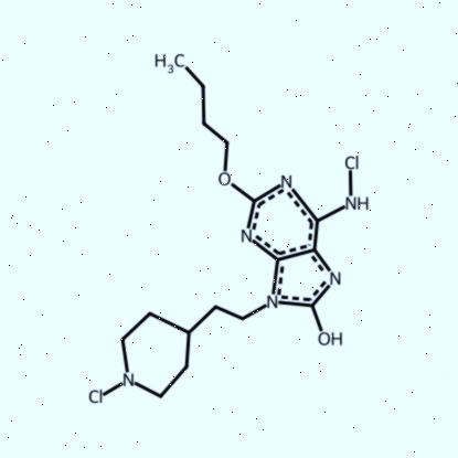 CCCCOc1nc(NCl)c2nc(O)n(CCC3CCN(Cl)CC3)c2n1